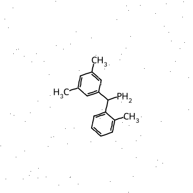 Cc1cc(C)cc(C(P)c2ccccc2C)c1